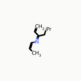 C=C/C(CC(C)C)=N\C=C/C